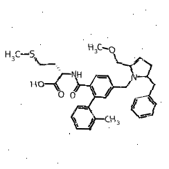 COCC1CCC(Cc2ccccc2)N1Cc1ccc(C(=O)N[C@@H](CCSC)C(=O)O)c(-c2ccccc2C)c1